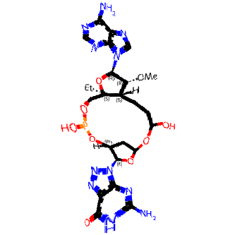 CC[C@@]12COP(O)O[C@@H]3CC(OC(O)CC[C@H]1[C@@H](OC)[C@H](n1cnc4c(N)ncnc41)O2)O[C@H]3n1nnc2c(=O)[nH]c(N)nc21